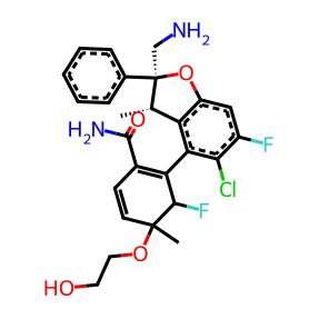 C[C@H]1c2c(cc(F)c(Cl)c2C2=C(C(N)=O)C=CC(C)(OCCO)C2F)O[C@]1(CN)c1ccccc1